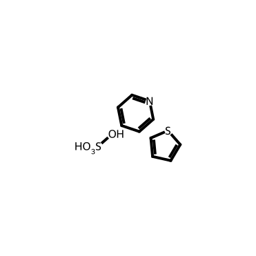 O=S(=O)(O)O.c1ccncc1.c1ccsc1